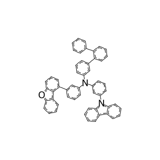 c1ccc(-c2ccccc2-c2cccc(N(c3cccc(-c4cccc5oc6ccccc6c45)c3)c3cccc(-n4c5ccccc5c5ccccc54)c3)c2)cc1